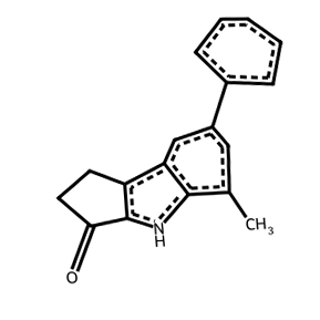 Cc1cc(-c2ccccc2)cc2c3c([nH]c12)C(=O)CC3